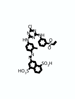 C=CS(=O)(=O)c1cccc(Nc2nc(Cl)nc(Nc3ccc(N=Nc4cc(S(=O)(=O)O)c5cccc(S(=O)(=O)O)c5c4)c(C)c3)n2)c1